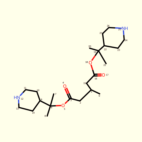 CC(CC(=O)OC(C)(C)C1CCNCC1)CC(=O)OC(C)(C)C1CCNCC1